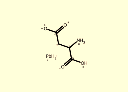 NC(CC(=O)O)C(=O)O.[PbH2]